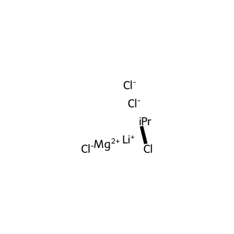 CC(C)Cl.[Cl-].[Cl-].[Cl-].[Li+].[Mg+2]